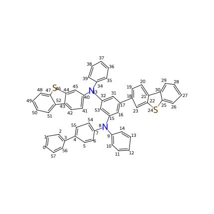 c1ccc(-c2ccc(N(c3ccccc3)c3cc(-c4ccc5c(c4)sc4ccccc45)cc(N(c4ccccc4)c4ccc5c(c4)sc4ccccc45)c3)cc2)cc1